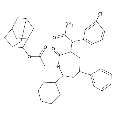 NC(=O)N(c1cccc(Cl)c1)C1CC(c2ccccc2)CC(C2CCCCC2)N(CC(=O)OC2C3CC4CC(C3)CC2C4)C1=O